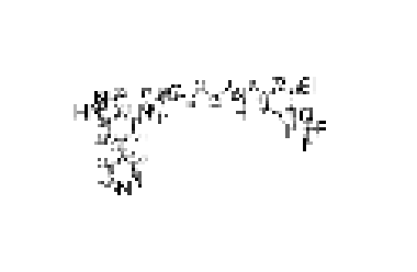 FC(F)(F)Oc1ccc(CNCCCCOC2CN(c3cc(-c4ccnnc4)cc4[nH]ncc34)C2)cc1Cl